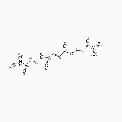 CCN(CC)C(=O)CCOC(=O)/C=C/C(=O)OCCC(=O)N(CC)CC